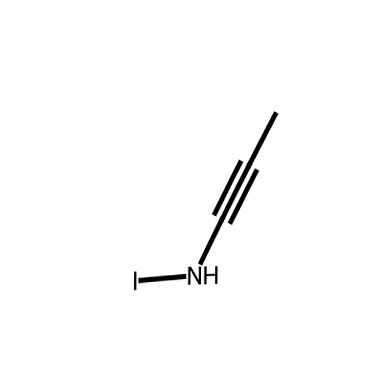 CC#CNI